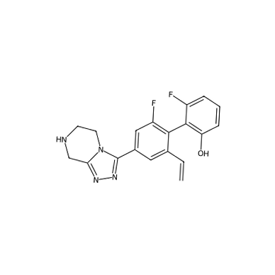 C=Cc1cc(-c2nnc3n2CCNC3)cc(F)c1-c1c(O)cccc1F